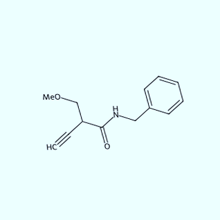 C#CC(COC)C(=O)NCc1ccccc1